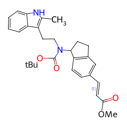 COC(=O)/C=C/c1ccc2c(c1)CCC2N(CCc1c(C)[nH]c2ccccc12)C(=O)OC(C)(C)C